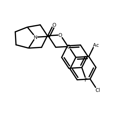 CC(=O)c1cc(Cl)ccc1OCC(=O)N1C2CCC1CC(Oc1ccc(F)cc1)C2